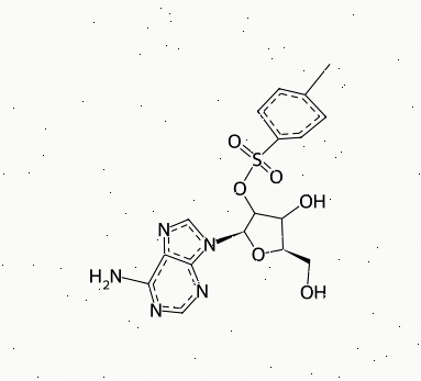 Cc1ccc(S(=O)(=O)OC2C(O)[C@@H](CO)O[C@H]2n2cnc3c(N)ncnc32)cc1